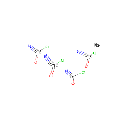 [N]#[Tc](=[O])[Cl].[N]#[Tc](=[O])[Cl].[N]#[Tc](=[O])[Cl].[N]#[Tc](=[O])[Cl].[Na]